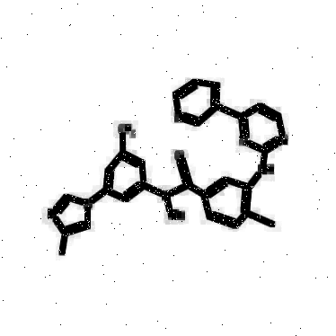 Cc1cn(-c2cc(N(C(=O)c3ccc(C)c(Nc4nccc(-c5cccnc5)n4)c3)C(C)(C)C)cc(C(F)(F)F)c2)cn1